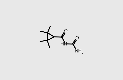 CC1(C)C(C(=O)NC(N)=O)C1(C)C